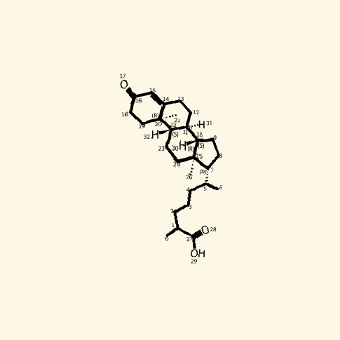 CC(CCCC(C)[C@H]1CC[C@H]2[C@@H]3CCC4=CC(=O)CC[C@]4(C)[C@H]3CC[C@]12C)C(=O)O